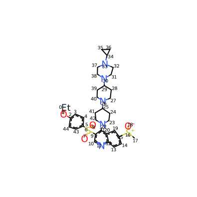 CCOc1ccc(S(=O)(=O)c2cnc3ccc([S+](C)[O-])cc3c2N2CCC(N3CCC(N4CCN(C5CC5)CC4)CC3)CC2)cc1